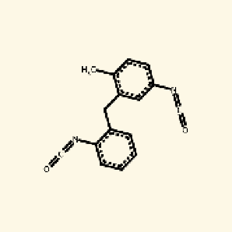 Cc1ccc(N=C=O)cc1Cc1ccccc1N=C=O